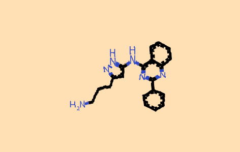 NCCCc1cc(Nc2nc(-c3ccccc3)nc3ccccc23)[nH]n1